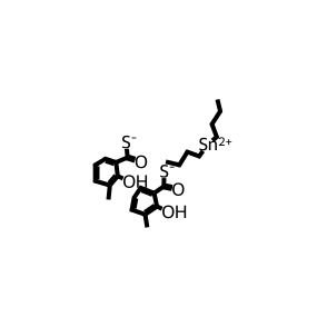 CCC[CH2][Sn+2][CH2]CCC.Cc1cccc(C(=O)[S-])c1O.Cc1cccc(C(=O)[S-])c1O